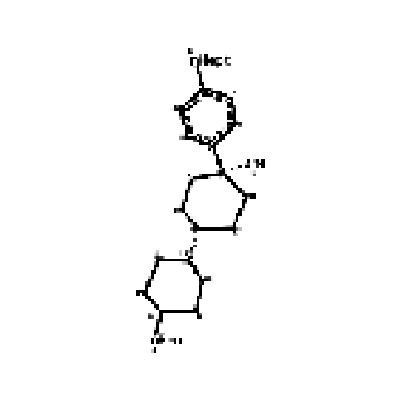 CCCCCCCc1ccc([C@]2(C#N)CC[C@@H](C3CCC(CCCCC)CC3)CC2)cc1